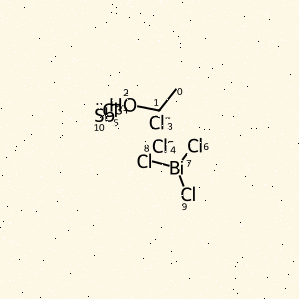 CCO.[Cl-].[Cl-].[Cl-].[Cl][Bi]([Cl])[Cl].[Sb+3]